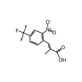 C/C(=C\c1ccc(C(F)(F)F)cc1[N+](=O)[O-])C(=O)O